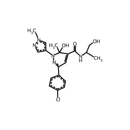 CC(CO)NC(=O)C1=CC(c2ccc(Cl)cc2)=NN(c2cnn(C)c2)C1(C)O